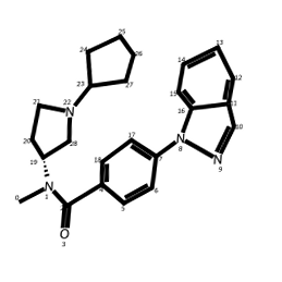 CN(C(=O)c1ccc(-n2ncc3ccccc32)cc1)[C@@H]1CCN(C2CCCC2)C1